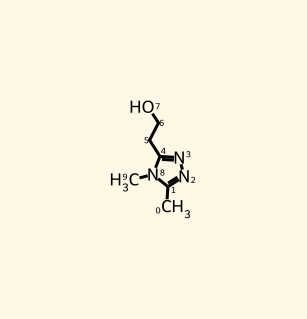 Cc1nnc(CCO)n1C